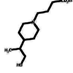 CCOC(=O)CCCN1CCC(C(C)CO)CC1